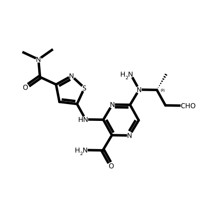 C[C@H](CC=O)N(N)c1cnc(C(N)=O)c(Nc2cc(C(=O)N(C)C)ns2)n1